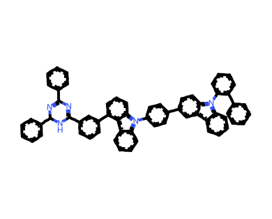 c1ccc(C2=NC(c3ccccc3)NC(c3cccc(-c4cccc5c4c4ccccc4n5-c4ccc(-c5ccc6c(c5)c5ccccc5n6-c5ccccc5-c5ccccc5)cc4)c3)=N2)cc1